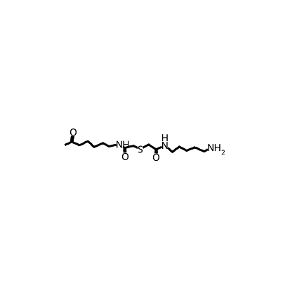 CC(=O)CCCCCNC(=O)CSCC(=O)NCCCCCN